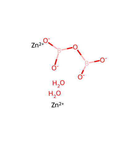 O.O.[O-]B([O-])OB([O-])[O-].[Zn+2].[Zn+2]